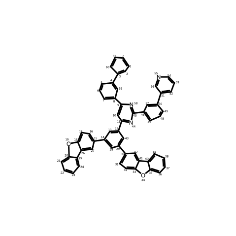 c1ccc(-c2cccc(-c3cc(-c4cc(-c5ccc6oc7ccccc7c6c5)cc(-c5ccc6oc7ccccc7c6c5)c4)nc(-c4cccc(-c5cccnc5)c4)n3)c2)cc1